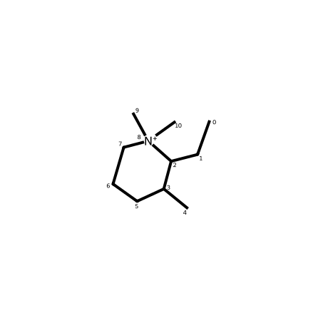 CCC1C(C)CCC[N+]1(C)C